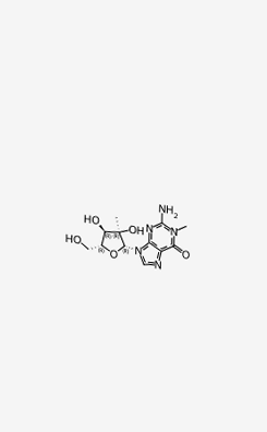 Cn1c(N)nc2c(ncn2[C@@H]2O[C@H](CO)[C@@H](O)[C@@]2(C)O)c1=O